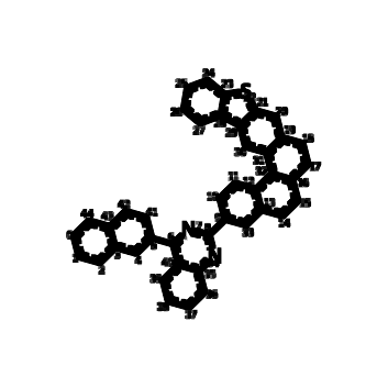 c1ccc2cc(-c3nc(-c4ccc5c(ccc6ccc7cc8sc9ccccc9c8cc7c65)c4)nc4ccccc34)ccc2c1